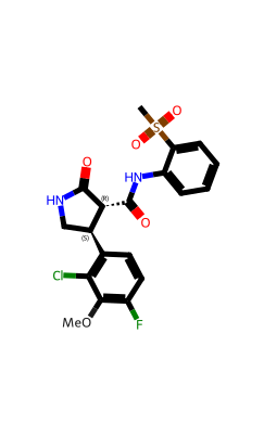 COc1c(F)ccc([C@H]2CNC(=O)[C@@H]2C(=O)Nc2ccccc2S(C)(=O)=O)c1Cl